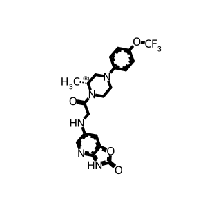 C[C@@H]1CN(c2ccc(OC(F)(F)F)cc2)CCN1C(=O)CNc1cnc2[nH]c(=O)oc2c1